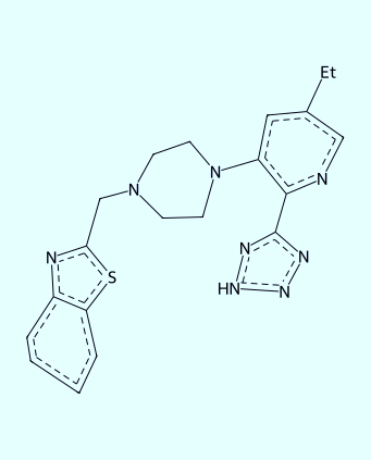 CCc1cnc(-c2nn[nH]n2)c(N2CCN(Cc3nc4ccccc4s3)CC2)c1